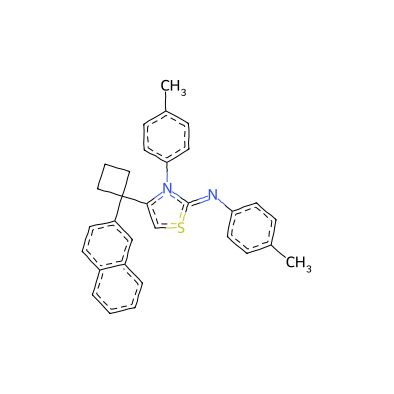 Cc1ccc(N=c2scc(C3(c4ccc5ccccc5c4)CCC3)n2-c2ccc(C)cc2)cc1